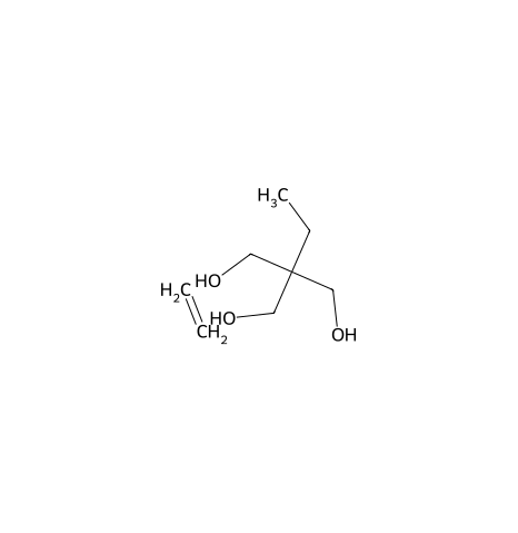 C=C.CCC(CO)(CO)CO